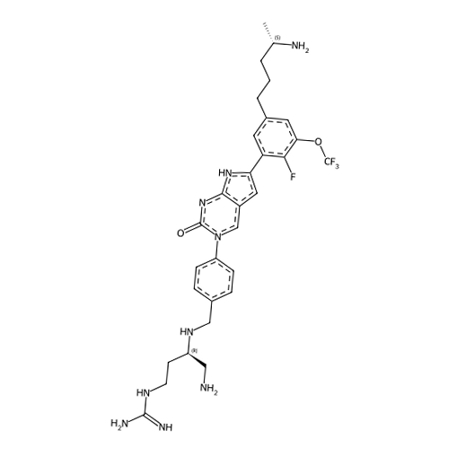 C[C@H](N)CCCc1cc(OC(F)(F)F)c(F)c(-c2cc3cn(-c4ccc(CN[C@@H](CN)CCNC(=N)N)cc4)c(=O)nc3[nH]2)c1